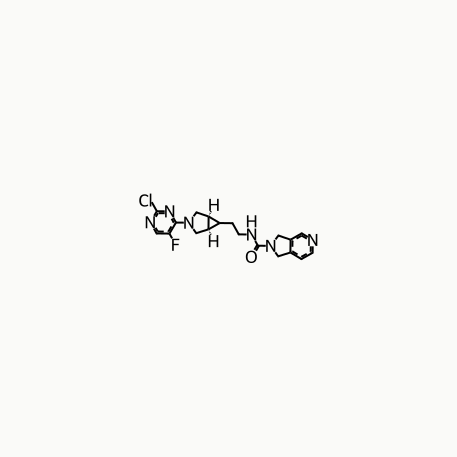 O=C(NCCC1[C@H]2CN(c3nc(Cl)ncc3F)C[C@@H]12)N1Cc2ccncc2C1